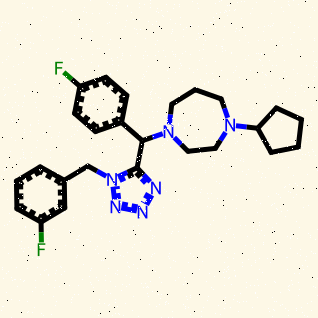 Fc1ccc(C(c2nnnn2Cc2cccc(F)c2)N2CCCN(C3CCCC3)CC2)cc1